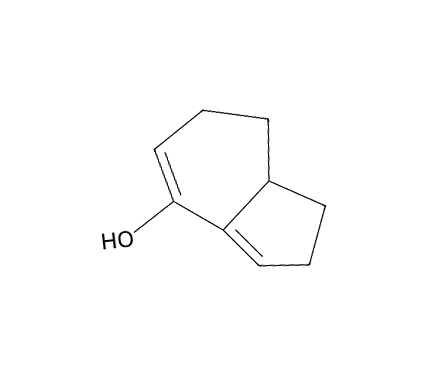 OC1=CCCC2CCC=C12